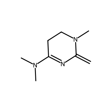 C=C1N=C(N(C)C)CCN1C